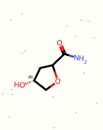 NC(=O)C1[CH][C@@H](O)CO1